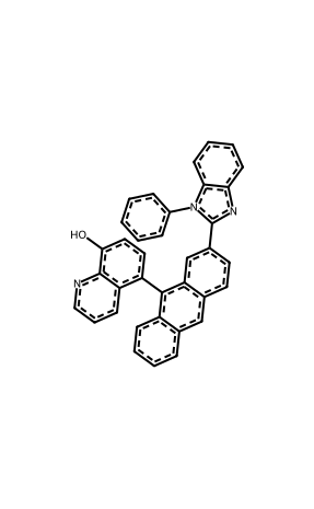 Oc1ccc(-c2c3ccccc3cc3ccc(-c4nc5ccccc5n4-c4ccccc4)cc23)c2cccnc12